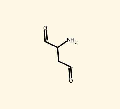 NC(C=O)C[C]=O